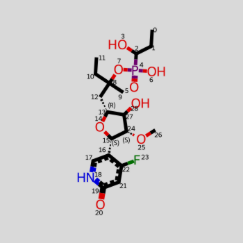 CCC(O)P(=O)(O)OC(C)(CC)C[C@H]1O[C@@H](c2c[nH]c(=O)cc2F)[C@@H](OC)C1O